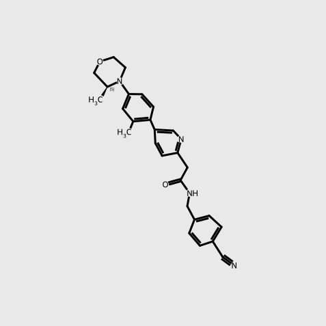 Cc1cc(N2CCOC[C@@H]2C)ccc1-c1ccc(CC(=O)NCc2ccc(C#N)cc2)nc1